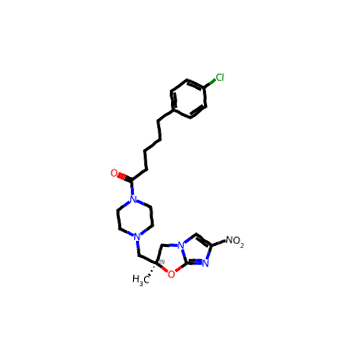 C[C@]1(CN2CCN(C(=O)CCCCc3ccc(Cl)cc3)CC2)Cn2cc([N+](=O)[O-])nc2O1